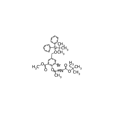 COC(=O)c1cc(CO[Si](c2ccccc2)(c2ccccc2)C(C)(C)C)cc(Br)c1O[C@H](C)CNC(=O)OC(C)(C)C